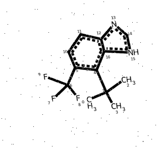 CC(C)(C)c1c(C(F)(F)F)ccc2nc[nH]c12